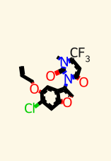 C=CCOc1cc2c(-n3c(=O)cc(C(F)(F)F)n(C)c3=O)coc2cc1Cl